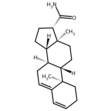 C[C@]12CC[C@H]3[C@@H](CC=C4C=CCC[C@@]43C)[C@@H]1CC[C@@H]2C(N)=O